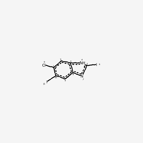 Clc1cc2[nH]c(I)nc2cc1I